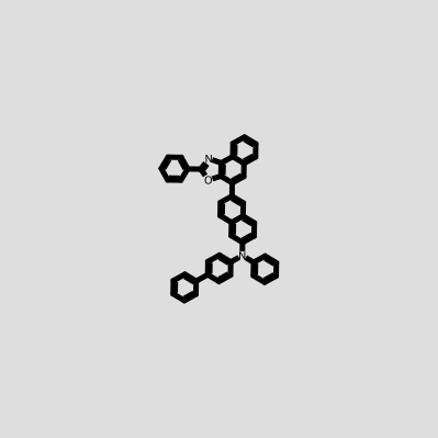 c1ccc(-c2ccc(N(c3ccccc3)c3ccc4cc(-c5cc6ccccc6c6nc(-c7ccccc7)oc56)ccc4c3)cc2)cc1